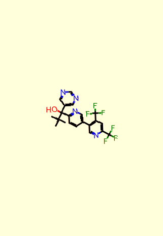 CC(C)(C)C(O)(c1cncnc1)c1ccc(-c2cnc(C(F)(F)F)cc2C(F)(F)F)cn1